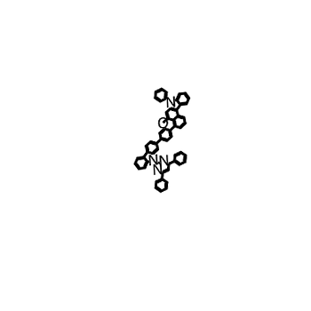 c1ccc(-c2cc(-c3ccccc3)nc(-n3c4ccccc4c4ccc(-c5ccc6c(c5)Oc5cc7c(c8cccc-6c58)c5ccccc5n7-c5ccccc5)cc43)n2)cc1